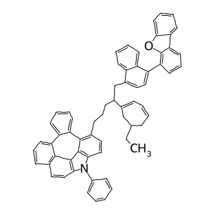 CCC1CC=CC=C(C(CCCc2ccc3c4c2-c2ccccc2-c2cccc5ccc(c4c25)n3-c2ccccc2)Cc2ccc(-c3cccc4c3oc3ccccc34)c3ccccc23)C1